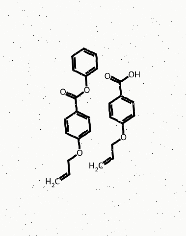 C=CCOc1ccc(C(=O)O)cc1.C=CCOc1ccc(C(=O)Oc2ccccc2)cc1